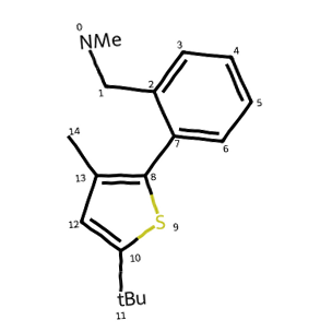 CNCc1ccccc1-c1sc(C(C)(C)C)cc1C